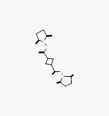 O=C(ON1C(=O)CCC1=O)C1CC(C(=O)ON2C(=O)CCC2=O)C1